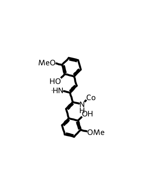 COc1cccc(C=C([NH])C(=Cc2cccc(OC)c2O)[NH][Co])c1O